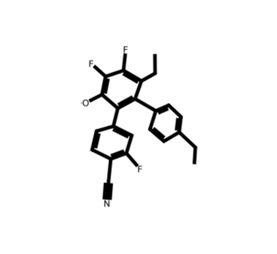 CCc1ccc(-c2c(CC)c(F)c(F)c([O])c2-c2ccc(C#N)c(F)c2)cc1